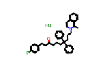 CC1c2ccccc2CCN1CCCC(CCCC(=O)CCc1ccc(F)cc1)(c1ccccc1)c1ccccc1.Cl